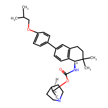 CC(C)COc1ccc(-c2ccc3c(c2)CCC(C)(C)[C@H]3NC(=O)O[C@H]2CN3CCC2CC3)cc1